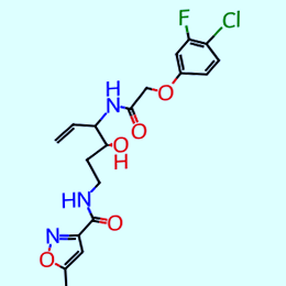 C=CC(NC(=O)COc1ccc(Cl)c(F)c1)[C@@H](O)CCNC(=O)c1cc(CC)on1